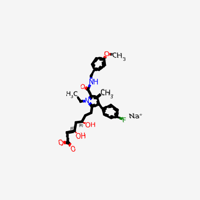 CCn1c(CC[C@@H](O)C[C@@H](O)CC(=O)[O-])c(-c2ccc(F)cc2)c(C)c1C(=O)NCc1ccc(OC)cc1.[Na+]